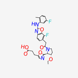 CCO[C@H]1CCN(C(=O)Cc2ccc3nc(Nc4cc(F)ccc4C)oc3c2F)[C@@H]1c1ncc(CCC(=O)O)o1